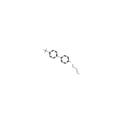 CCCCOc1ccc(-c2ccc(C(C)(F)F)cc2)cc1